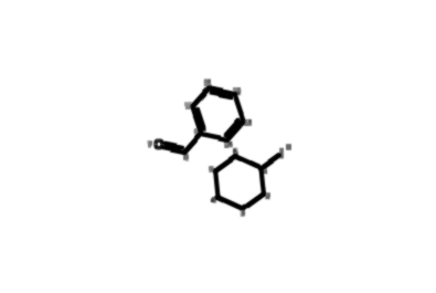 IC1CCCCC1.O=Cc1ccccc1